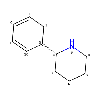 C1=CCC([C@H]2CCCCN2)C=C1